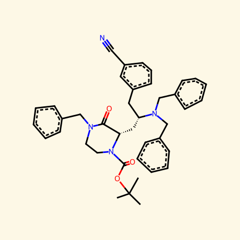 CC(C)(C)OC(=O)N1CCN(Cc2ccccc2)C(=O)[C@@H]1C[C@H](Cc1cccc(C#N)c1)N(Cc1ccccc1)Cc1ccccc1